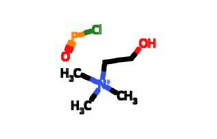 C[N+](C)(C)CCO.O=PCl